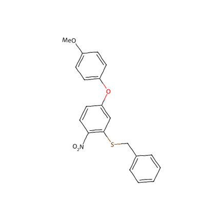 COc1ccc(Oc2ccc([N+](=O)[O-])c(SCc3ccccc3)c2)cc1